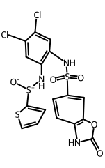 O=c1[nH]c2ccc(S(=O)(=O)Nc3cc(Cl)c(Cl)cc3N[S+]([O-])c3cccs3)cc2o1